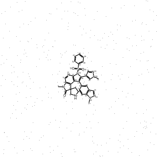 CN1C(=O)C2(CCNC2)c2c1cnc1c2c(-c2ccc3c(cnn3C)c2)c(-c2cnn(C)c2)n1S(=O)(=O)c1ccccc1